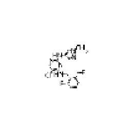 Cn1cc(Nc2ncc(Cl)c(NCc3c(F)cccc3CF)n2)cn1